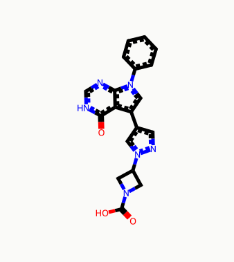 O=C(O)N1CC(n2cc(-c3cn(-c4ccccc4)c4nc[nH]c(=O)c34)cn2)C1